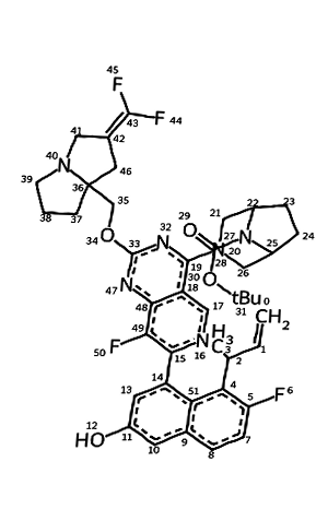 C=CC(C)c1c(F)ccc2cc(O)cc(-c3ncc4c(N5CC6CCC(C5)N6C(=O)OC(C)(C)C)nc(OCC56CCCN5CC(=C(F)F)C6)nc4c3F)c12